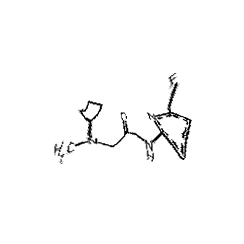 CN(CC(=O)Nc1cccc(F)n1)C1CCC1